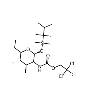 CCC1O[C@@H](O[Si](C)(C)C(C)(C)C(C)C)C(NC(=O)OCC(Cl)(Cl)Cl)[C@@H](C)[C@@H]1C